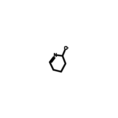 [O]C1CCCC=N1